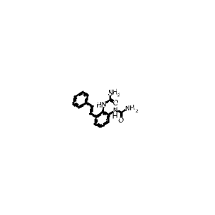 NC(=O)Nc1cccc(C=Cc2ccccc2)c1NC(N)=O